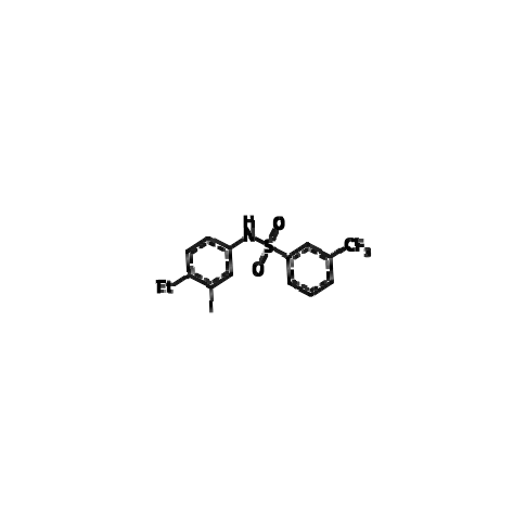 CCc1ccc(NS(=O)(=O)c2cccc(C(F)(F)F)c2)cc1C